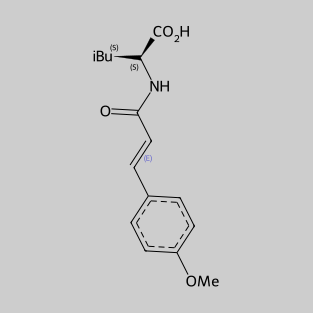 CC[C@H](C)[C@H](NC(=O)/C=C/c1ccc(OC)cc1)C(=O)O